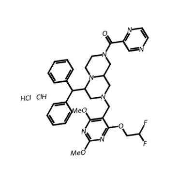 COc1nc(OC)c(CN2CC3CN(C(=O)c4cnccn4)CCN3C(C(c3ccccc3)c3ccccc3)C2)c(OCC(F)F)n1.Cl.Cl